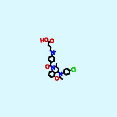 CC(=O)N(c1ccc(Cl)cc1)C1CC(C)N(C(=O)c2ccc(N(C)CCCC(=O)O)cc2)c2ccccc21